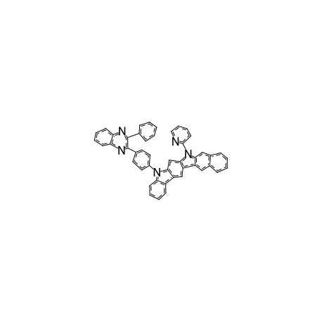 c1ccc(-c2nc3ccccc3nc2-c2ccc(-n3c4ccccc4c4cc5c6cc7ccccc7cc6n(-c6ccccn6)c5cc43)cc2)cc1